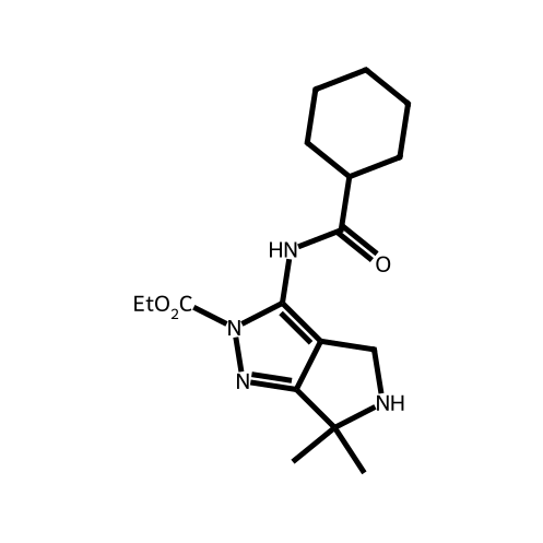 CCOC(=O)n1nc2c(c1NC(=O)C1CCCCC1)CNC2(C)C